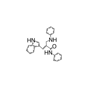 O=C(Nc1ccccc1)/C(=C/c1c[nH]c2ccccc12)CNc1ccccc1